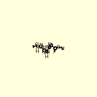 CN(C)CCOc1cc(F)cc(-c2ccnc3[nH]c(-c4n[nH]c5ncc(-c6cncc(NC(=O)C7CC7)c6)cc45)cc23)c1